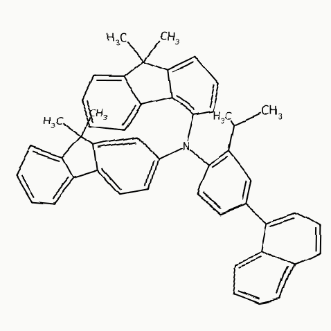 CC(C)c1cc(-c2cccc3ccccc23)ccc1N(c1ccc2c(c1)C(C)(C)c1ccccc1-2)c1cccc2c1-c1ccccc1C2(C)C